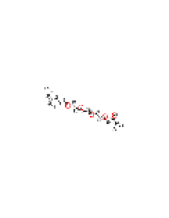 CCCC(CC)CCCOCCOCCOCCOCC(=O)C(C)C